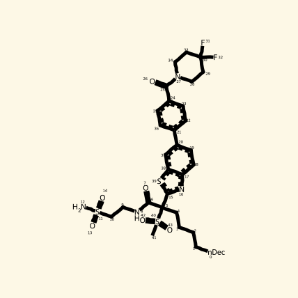 CCCCCCCCCCCCCCC(C(=O)NCCS(N)(=O)=O)(c1nc2ccc(-c3ccc(C(=O)N4CCC(F)(F)CC4)cc3)cc2s1)S(C)(=O)=O